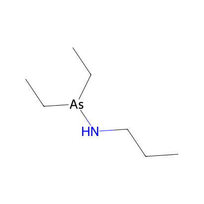 CCCN[As](CC)CC